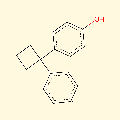 Oc1ccc(C2(c3cc[c]cc3)CCC2)cc1